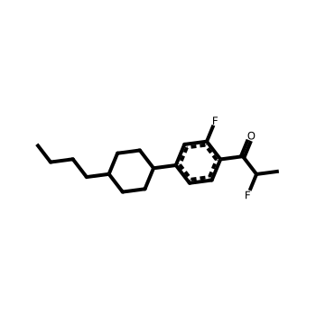 CCCCC1CCC(c2ccc(C(=O)C(C)F)c(F)c2)CC1